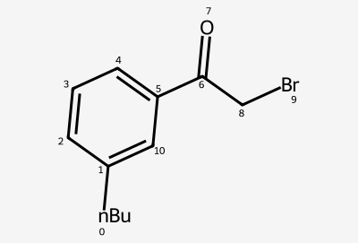 CCCCc1cccc(C(=O)CBr)c1